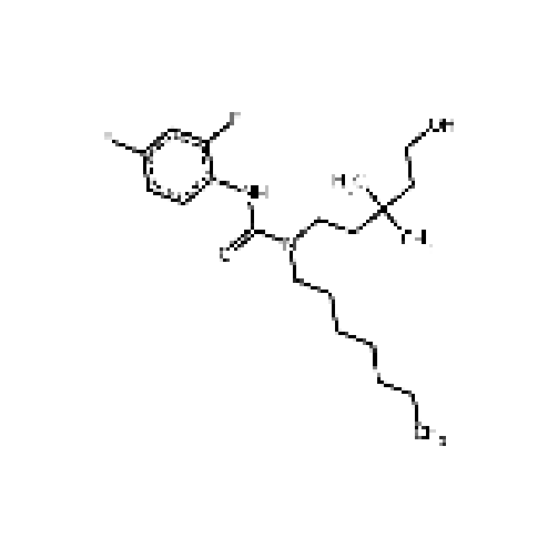 CCCCCCCN(CCC(C)(C)CCO)C(=O)Nc1ccc(F)cc1F